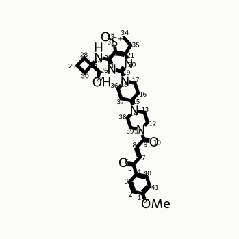 COc1ccc(C(=O)/C=C/C(=O)N2CCN(C3CCN(c4nc5c(c(NC6(CO)CCC6)n4)[S@+]([O-])CC5)CC3)CC2)cc1